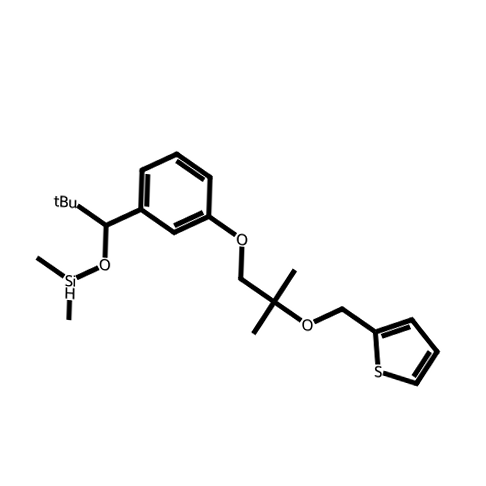 C[SiH](C)OC(c1cccc(OCC(C)(C)OCc2cccs2)c1)C(C)(C)C